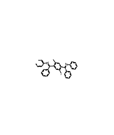 C\C=C/C(=C\C)/N=C(\c1ccccc1)c1cc(I)c(/C(=N/c2ccccc2)c2ccccc2)cc1C